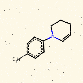 O=[N+]([O-])c1ccc(N2C=CCCC2)cc1